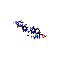 COCc1nn(C(C)C)c2c1CCc1cnc(Nc3ccc(N4CCNCC4)cn3)nc1-2